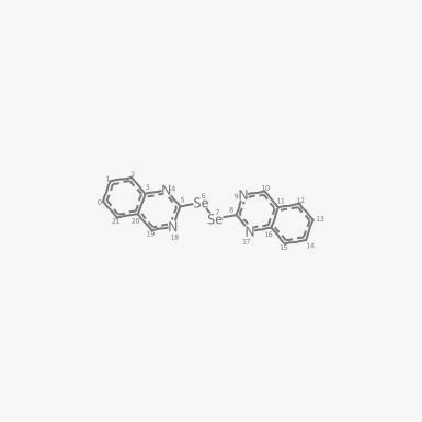 c1ccc2nc([Se][Se]c3ncc4ccccc4n3)ncc2c1